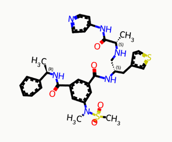 C[C@H](NC[C@H](Cc1ccsc1)NC(=O)c1cc(C(=O)N[C@H](C)c2ccccc2)cc(N(C)S(C)(=O)=O)c1)C(=O)Nc1ccncc1